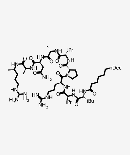 CCCCCCCCCCCCCCCC(=O)N[C@H](C(=O)N[C@H](C(=O)N[C@@H](CCCNC(=N)N)C(=O)N1CCC[C@H]1C(=O)N[C@H](C(=O)N[C@@H](C)C(=O)N[C@@H](CC(N)=O)C(=O)N[C@@H](C)C(=O)N[C@H](C)CCCNC(N)N)C(C)C)C(C)C)[C@@H](C)CC